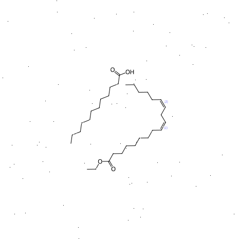 CCCCC/C=C\C/C=C\CCCCCCCC(=O)OCC.CCCCCCCCCCCC(=O)O